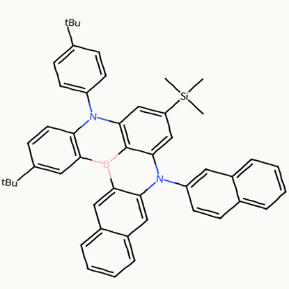 CC(C)(C)c1ccc(N2c3ccc(C(C)(C)C)cc3B3c4cc5ccccc5cc4N(c4ccc5ccccc5c4)c4cc([Si](C)(C)C)cc2c43)cc1